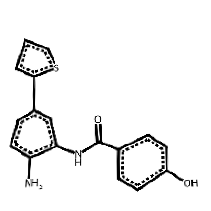 Nc1ccc(-c2cccs2)cc1NC(=O)c1ccc(O)cc1